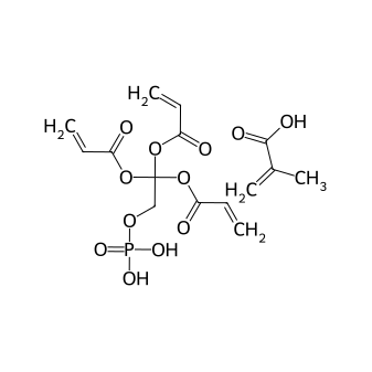 C=C(C)C(=O)O.C=CC(=O)OC(COP(=O)(O)O)(OC(=O)C=C)OC(=O)C=C